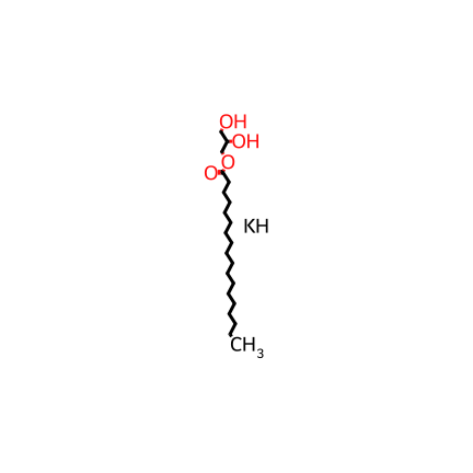 CCCCCCCCCCCCCCCCCC(=O)OCC(O)CO.[KH]